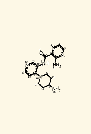 Nc1nccnc1C(=O)Nc1cnccc1N1CCC(N)CC1